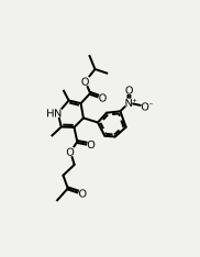 CC(=O)CCOC(=O)C1=C(C)NC(C)=C(C(=O)OC(C)C)C1c1cccc([N+](=O)[O-])c1